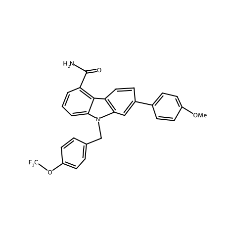 COc1ccc(-c2c[c]c3c4c(C(N)=O)cccc4n(Cc4ccc(OC(F)(F)F)cc4)c3c2)cc1